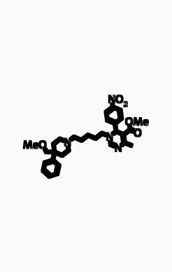 COCC1(c2ccccc2)CCN(CCCCCN2C=NC(C)=C(C(=O)OC)C2c2ccc([N+](=O)[O-])cc2)CC1